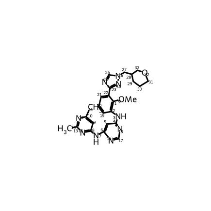 COc1c(Nc2cc(Nc3cc(C)nc(C)n3)ncn2)cccc1-c1ncn(CC2CCCOC2)n1